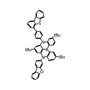 CC(C)(C)c1ccc2c(c1)B1c3ccc(C(C)(C)C)cc3N(c3ccc(-c4cccc5c4sc4ccccc45)cc3)c3cc(C(C)(C)C)cc(c31)N2c1ccc2c(c1)oc1ccccc12